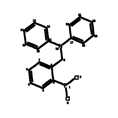 ClP(Cl)c1ccccc1CN(c1ccccc1)c1ccccc1